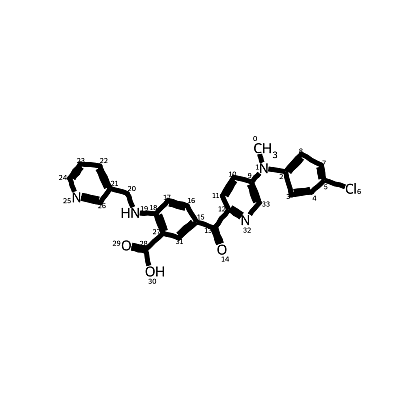 CN(c1ccc(Cl)cc1)c1ccc(C(=O)c2ccc(NCc3cccnc3)c(C(=O)O)c2)nc1